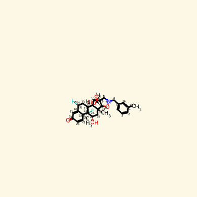 Cc1cccc(CN2C[C@@H]3CC4[C@@H]5C[C@H](F)C6=CC(=O)C=C[C@]6(C)[C@@]5(F)[C@@H](O)C[C@]4(C)[C@]3(C(=O)O)O2)c1